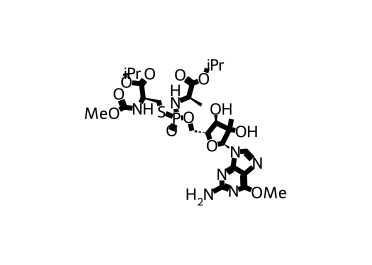 COC(=O)N[C@H](CSP(=O)(N[C@H](C)C(=O)OC(C)C)OC[C@H]1O[C@@H](n2cnc3c(OC)nc(N)nc32)C(C)(O)[C@@H]1O)C(=O)OC(C)C